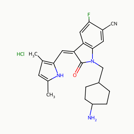 Cc1cc(C)c(/C=C2\C(=O)N(CC3CCC(N)CC3)c3cc(C#N)c(F)cc32)[nH]1.Cl